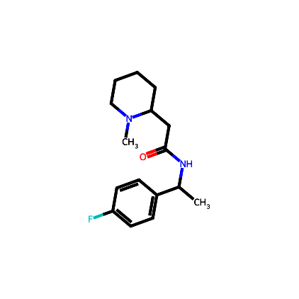 CC(NC(=O)CC1CCCCN1C)c1ccc(F)cc1